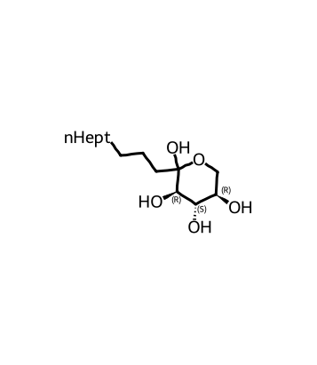 CCCCCCCCCCC1(O)OC[C@@H](O)[C@H](O)[C@H]1O